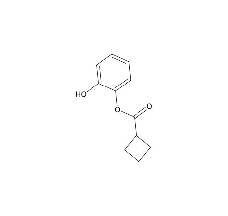 O=C(Oc1ccccc1O)C1CCC1